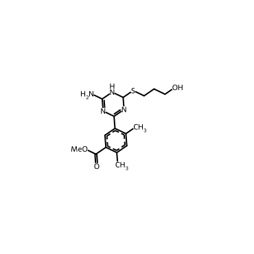 COC(=O)c1cc(C2=NC(SCCCO)NC(N)=N2)c(C)cc1C